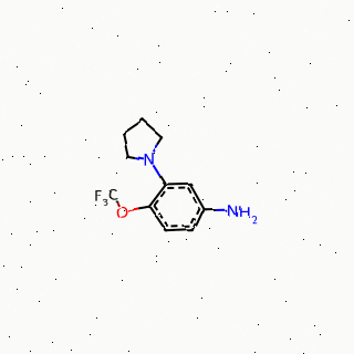 Nc1ccc(OC(F)(F)F)c(N2CCCC2)c1